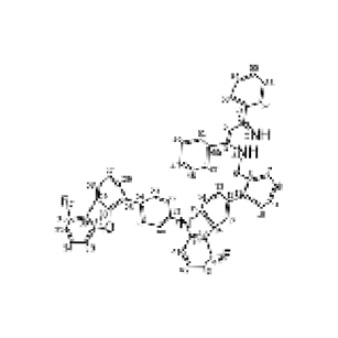 N=C(/C=C(\NCc1ccccc1-c1ccc2c(c1)c1c(n2-c2ccc(-c3cccc4c3oc3cccc(F)c34)cc2)C=CCC1F)c1ccccc1)c1ccccc1